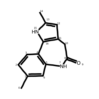 Cc1ccc2c(c1)NC(=O)Cc1cc(C)[nH]c1-2